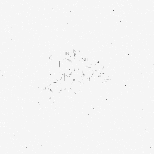 CC(C)c1cc(Nc2nc(N3CCC[C@@H]3C(=O)Nc3ccc(F)nc3)nc3c2CC[C@H]3O)n[nH]1